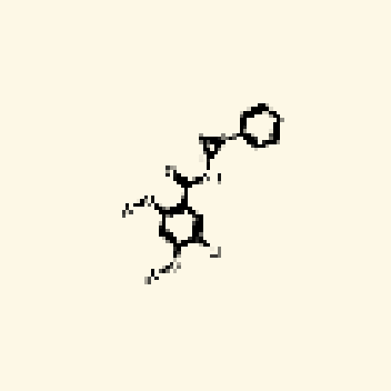 COc1cc(OC)c(C(=O)N[C@@H]2C[C@H]2c2ccccc2)cc1Cl